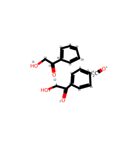 C=O.O=C(CO)c1ccccc1.O=C(CO)c1ccccc1